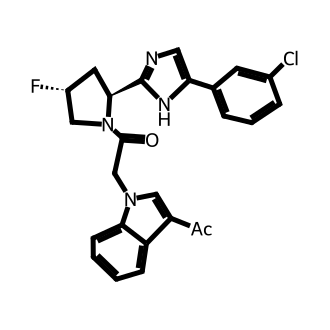 CC(=O)c1cn(CC(=O)N2C[C@H](F)C[C@H]2c2ncc(-c3cccc(Cl)c3)[nH]2)c2ccccc12